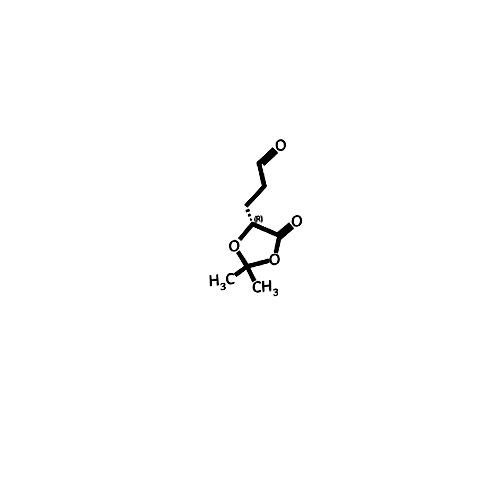 CC1(C)OC(=O)[C@@H](CCC=O)O1